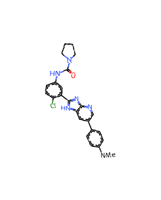 CNc1ccc(-c2cnc3nc(-c4cc(NC(=O)N5CCCC5)ccc4Cl)[nH]c3c2)cc1